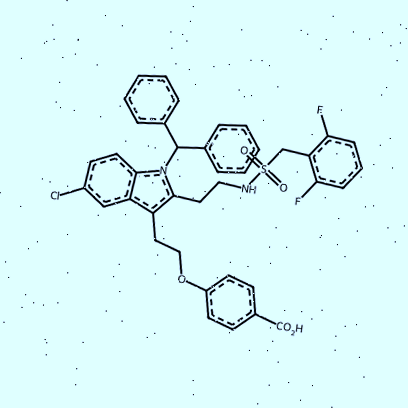 O=C(O)c1ccc(OCCc2c(CCNS(=O)(=O)Cc3c(F)cccc3F)n(C(c3ccccc3)c3ccccc3)c3ccc(Cl)cc23)cc1